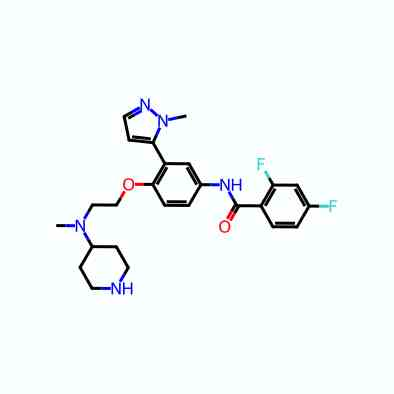 CN(CCOc1ccc(NC(=O)c2ccc(F)cc2F)cc1-c1ccnn1C)C1CCNCC1